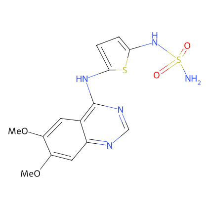 COc1cc2ncnc(Nc3ccc(NS(N)(=O)=O)s3)c2cc1OC